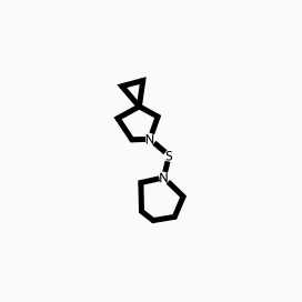 C1CCN(SN2CCC3(CC3)C2)CC1